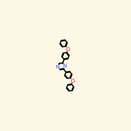 c1ccc(Oc2ccc(-c3cncc(-c4ccc(Oc5ccccc5)cc4)n3)cc2)cc1